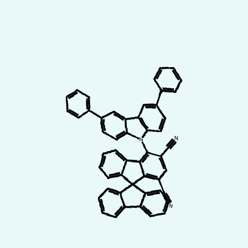 N#Cc1cc(C#N)c2c(c1-n1c3ccc(-c4ccccc4)cc3c3cc(-c4ccccc4)ccc31)-c1ccccc1C21c2ccccc2-c2ccccc21